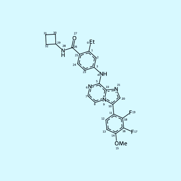 CCc1cc(Nc2nccn3c(-c4ccc(OC)c(F)c4F)cnc23)ccc1C(=O)NC1CCC1